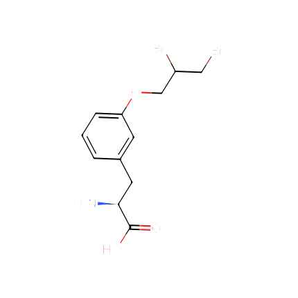 N[C@@H](Cc1cccc(OCC(Br)CBr)c1)C(=O)O